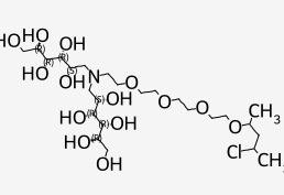 CC(Cl)CC(C)OCCOCCOCCOCCN(C[C@H](O)[C@@H](O)[C@H](O)[C@H](O)CO)C[C@H](O)[C@@H](O)[C@H](O)[C@H](O)CO